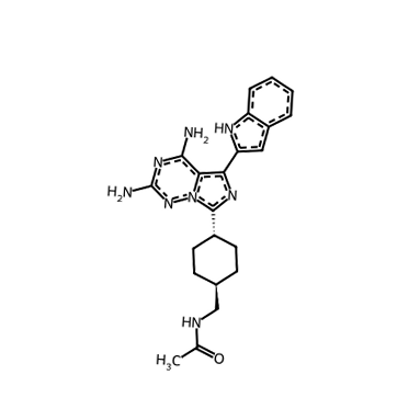 CC(=O)NC[C@H]1CC[C@H](c2nc(-c3cc4ccccc4[nH]3)c3c(N)nc(N)nn32)CC1